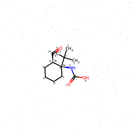 CC(C)(C)[C@]1(NC(=O)O)CCCC[C@H]1C=O